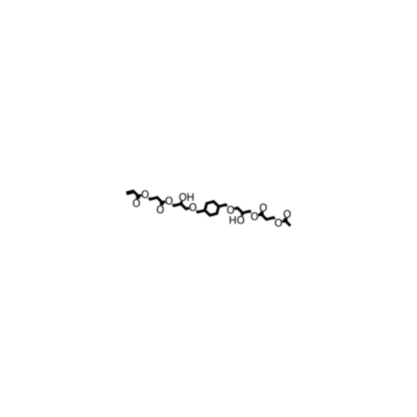 C=CC(=O)OCCC(=O)OCC(O)COCC1CCC(COCC(O)COC(=O)CCOC(C)=O)CC1